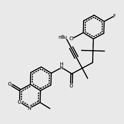 CCCCC#CC(C)(CC(C)(C)c1cc(F)ccc1Cl)C(=O)Nc1ccc2c(=O)onc(C)c2c1